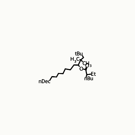 CCCCCCCCCCCCCCCCCC(OC(=O)C(CC)CCCC)C(C)(C)CC(C)(C)C